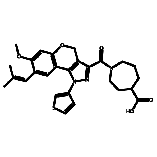 COc1cc2c(cc1C=C(C)C)-c1c(c(C(=O)N3CCCC(C(=O)O)CC3)nn1-c1ccsc1)CO2